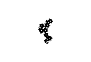 CC1(C)c2ccccc2-c2ccc(N(c3ccc(-c4ccc5c(c4)c4cccc6c7sccc7n5c46)cc3)c3cccc4oc5ccccc5c34)cc21